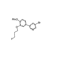 COc1ccc(-c2cncc(Br)c2)cc1OCCCF